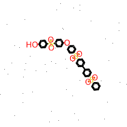 O=S(=O)(c1ccc(O)cc1)c1ccc(Oc2ccc(S(=O)(=O)c3ccc(-c4ccc(S(=O)(=O)c5ccccc5)cc4)cc3)cc2)cc1